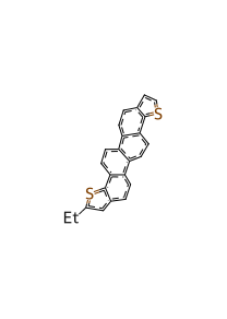 CCc1cc2ccc3c4ccc5c(ccc6ccsc65)c4ccc3c2s1